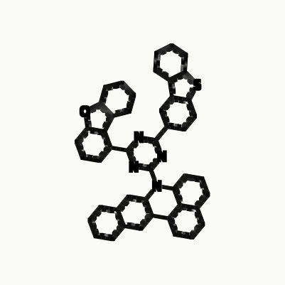 c1ccc2cc3c(cc2c1)-c1cccc2cccc(c12)N3c1nc(-c2ccc3sc4ccccc4c3c2)nc(-c2cccc3oc4ccccc4c23)n1